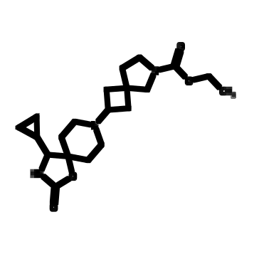 CCOC(=O)N1CCC2(CC(N3CCC4(CC3)OC(=O)NC4C3CC3)C2)C1